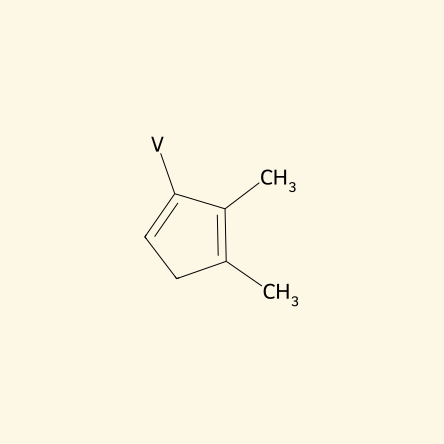 CC1=C(C)[C]([V])=CC1